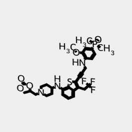 COc1cc(P(C)(C)=O)ccc1NCC#Cc1sc2c(NC3CCN(CC4COC(=O)O4)CC3)cccc2c1CC(F)(F)F